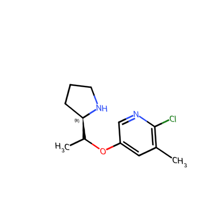 Cc1cc(OC(C)[C@H]2CCCN2)cnc1Cl